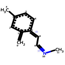 C=c1cc(C)cc/c1=C/C=N\C